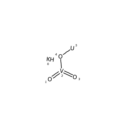 [KH].[O]=[V](=[O])[O][U]